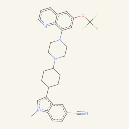 Cn1cc(C2CCC(N3CCN(c4cc(OC(F)(F)F)cc5cccnc45)CC3)CC2)c2cc(C#N)ccc21